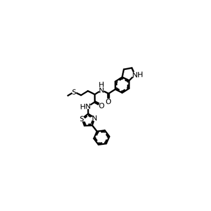 CSCCC(NC(=O)c1ccc2c(c1)CCN2)C(=O)Nc1nc(-c2ccccc2)cs1